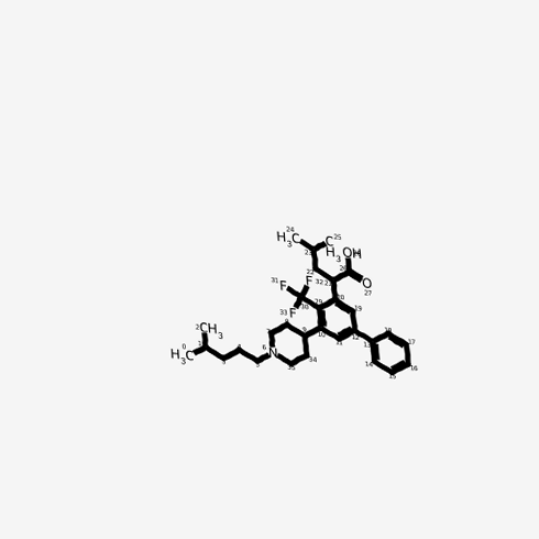 CC(C)CCCN1CCC(c2cc(-c3ccccc3)cc(C(CC(C)C)C(=O)O)c2C(F)(F)F)CC1